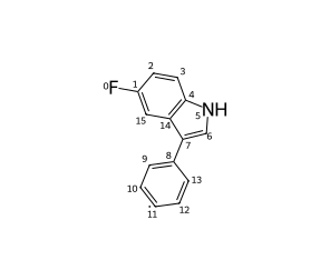 Fc1ccc2[nH]cc(-c3cc[c]cc3)c2c1